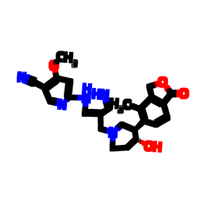 COc1cc(N/C=C(\C=N)CN2CC[C@@H](O)[C@H](c3ccc4c(c3C)COC4=O)C2)ncc1C#N